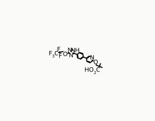 CC(C)(COc1ccc(-c2ccc(-c3nc(OCC(F)(F)C(F)(F)F)n[nH]3)cc2)cn1)C(=O)O